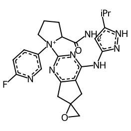 CC(C)c1cc(Nc2nc([N+]3(c4ccc(F)nc4)CCCC3C(N)=O)nc3c2CC2(CO2)C3)n[nH]1